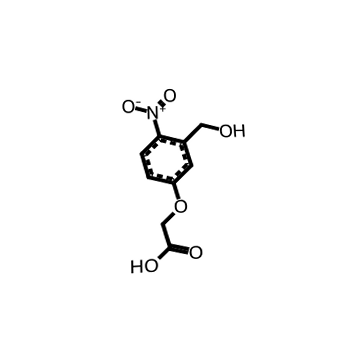 O=C(O)COc1ccc([N+](=O)[O-])c(CO)c1